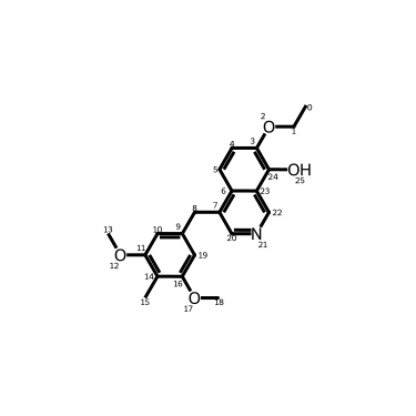 CCOc1ccc2c(Cc3cc(OC)c(C)c(OC)c3)cncc2c1O